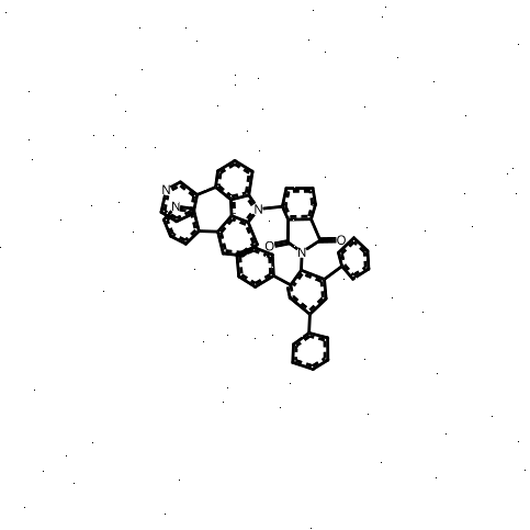 O=C1c2cccc(-n3c4cccc(-c5cccnc5)c4c4c(-c5cccnc5)cccc43)c2C(=O)N1c1c(-c2ccccc2)cc(-c2ccccc2)cc1-c1ccccc1